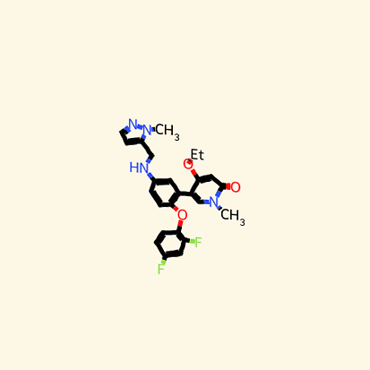 CCOc1cc(=O)n(C)cc1-c1cc(NCc2ccnn2C)ccc1Oc1ccc(F)cc1F